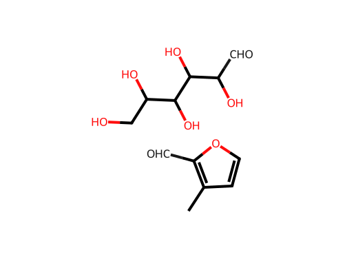 Cc1ccoc1C=O.O=CC(O)C(O)C(O)C(O)CO